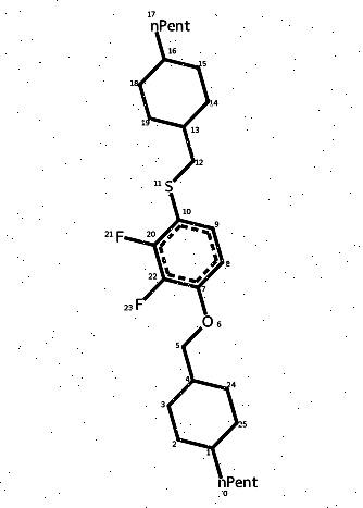 CCCCCC1CCC(COc2ccc(SCC3CCC(CCCCC)CC3)c(F)c2F)CC1